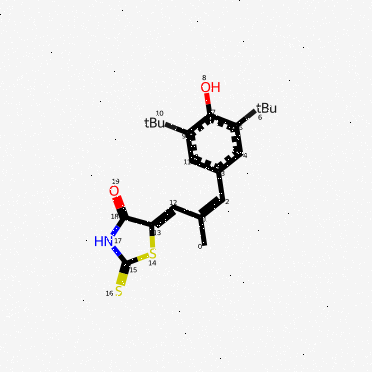 CC(=Cc1cc(C(C)(C)C)c(O)c(C(C)(C)C)c1)C=C1SC(=S)NC1=O